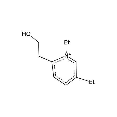 CCc1ccc(CCO)[n+](CC)c1